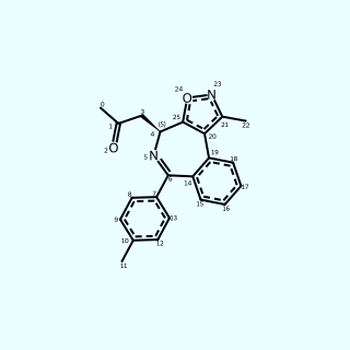 CC(=O)C[C@@H]1N=C(c2ccc(C)cc2)c2ccccc2-c2c(C)noc21